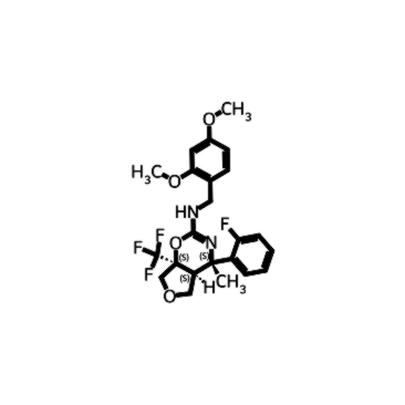 COc1ccc(CNC2=N[C@](C)(c3ccccc3F)[C@H]3COC[C@@]3(C(F)(F)F)O2)c(OC)c1